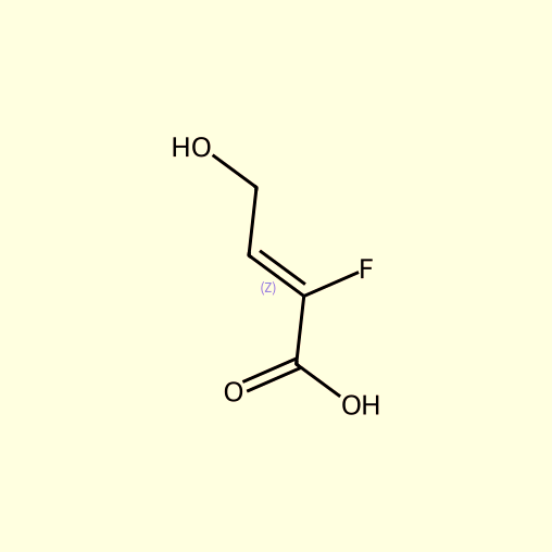 O=C(O)/C(F)=C/CO